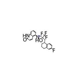 O=c1ccc2c(/N=C/C(O)(CC3CCCc4cc(F)ccc43)C(F)(F)F)cccc2[nH]1